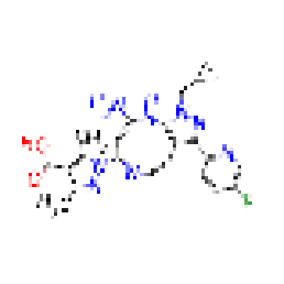 Cc1nn(-c2cc(N)[nH]c3c(ccn2)c(-c2ccc(F)cn2)nn3CC2CC2)c(C)c1C(=O)O